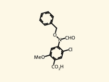 COc1cc(N(C=O)OCc2ccccc2)c(Cl)cc1C(=O)O